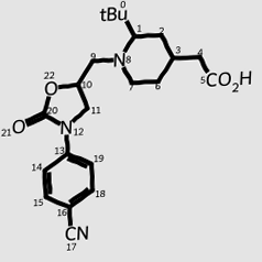 CC(C)(C)C1CC(CC(=O)O)CCN1CC1CN(c2ccc(C#N)cc2)C(=O)O1